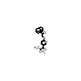 CN(C)C(=O)c1ccc(SCC(=O)C23CC4CC(CC(C4)C2)C3)nc1